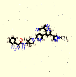 Cn1cc(-c2cc(-c3ccc(N4C[C@@H]5C(NC(=O)C(N)c6ccccc6)[C@@H]5C4)nc3)c3c(C#N)cnn3c2)cn1